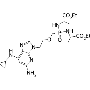 CCOC(=O)C(C)NP(=O)(COCCn1cnc2c(NC3CC3)cc(N)nc21)NC(C)C(=O)OCC